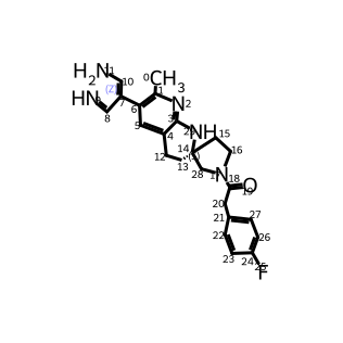 Cc1nc2c(cc1/C(C=N)=C/N)CC[C@@]1(CCN(C(=O)Cc3ccc(F)cc3)C1)N2